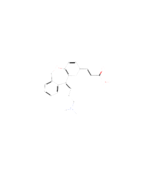 CN(C)CCC=C1C2=C(C=CC(C=CC(=O)O)C2)OCc2ccccc21